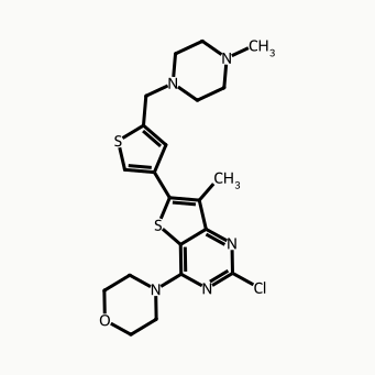 Cc1c(-c2csc(CN3CCN(C)CC3)c2)sc2c(N3CCOCC3)nc(Cl)nc12